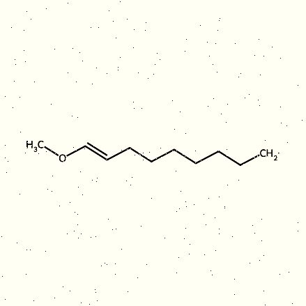 [CH2]CCCCCCC=COC